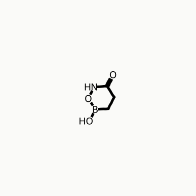 O=C1CCB(O)ON1